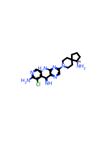 N=C(c1ccnc(N)c1Cl)c1ncc(N2CCC3(CCC[C@H]3N)CC2)nc1N